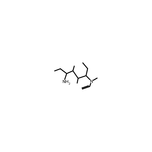 C=CN(C)C(CC)C(C)C(C)C(N)CC